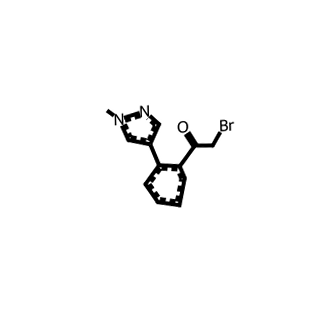 Cn1cc(-c2ccccc2C(=O)CBr)cn1